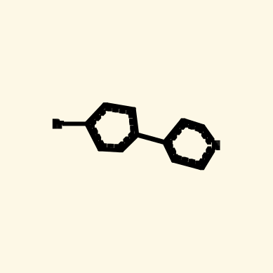 Brc1ccc(-c2ccncc2)cc1